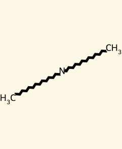 CCCCCCCCCCCCCC=NCCCCCCCCCCCCCCC